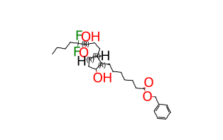 CCCCC(F)(F)[C@@]1(O)CC[C@H]2[C@@H](CC(O)[C@@H]2CCCCCCC(=O)OCc2ccccc2)O1